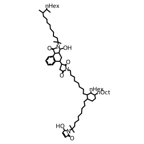 CCCCCCCCC1CCC(CCCCCCCCC(C)(C)N2C(=O)C=CC2O)C(CCCCCCCCN2C(=O)CC(C3CC4C(C(=O)N(C(C)(C)CCCCCCCCC(C)C(C)CCCCCC)C4O)c4ccccc43)C2=O)C1CCCCCC